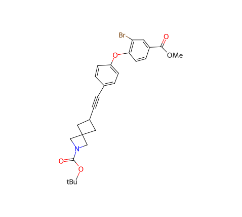 COC(=O)c1ccc(Oc2ccc(C#CC3CC4(C3)CN(C(=O)OC(C)(C)C)C4)cc2)c(Br)c1